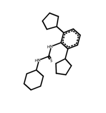 S=C(Nc1c(C2CCCC2)cccc1C1CCCC1)NC1CCCCC1